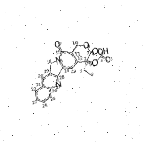 CC[C@@]1(OC(=O)O)C(=O)OCc2c1cc1n(c2=O)Cc2cc3ccccc3nc2-1